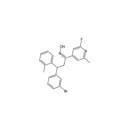 Cc1cc(/C(CC(c2cccc(Br)c2)c2ccccc2C)=N\O)cc(F)n1